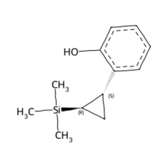 C[Si](C)(C)[C@@H]1C[C@H]1c1ccccc1O